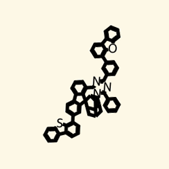 c1ccc(-c2nc(-c3cccc(-c4cccc5c4oc4ccccc45)c3)nc(-c3cccc4c3C3(c5cc(-c6cccc7c6sc6ccccc67)ccc5-4)C4CC5CC(C4)CC3C5)n2)cc1